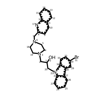 OC(CN1CCN(Cc2ccc3ccccc3n2)CC1)Cn1c2ccccc2c2cc(Br)ccc21